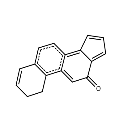 O=C1C=c2c3c(ccc2=C2C=CC=C12)C=CCC3